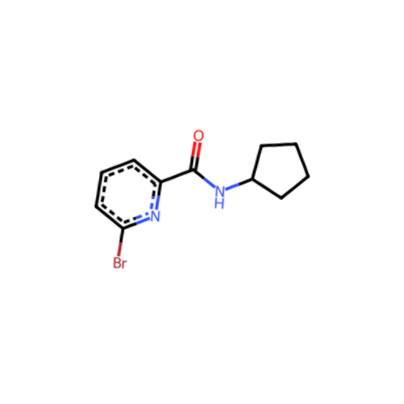 O=C(NC1CCCC1)c1cccc(Br)n1